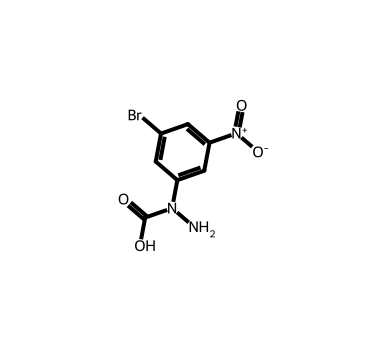 NN(C(=O)O)c1cc(Br)cc([N+](=O)[O-])c1